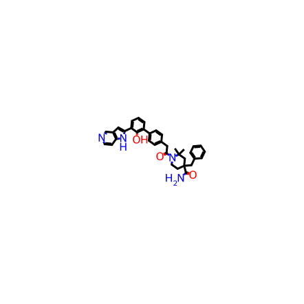 CC1(C)CC(Cc2ccccc2)(C(N)=O)CCN1C(=O)Cc1ccc(-c2cccc(-c3cc4cnccc4[nH]3)c2O)cc1